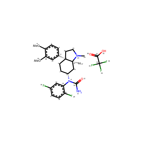 COc1ccc([C@@]23CC[C@@H](N(C(N)=O)c4cc(F)ccc4F)C[C@@H]2N(C)CC3)cc1OC.O=C(O)C(F)(F)F